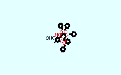 Cc1cc(OCc2ccccc2)c(C2(O)O[C@H](COCc3ccccc3)[C@@H](OCc3ccccc3)[C@H](OCc3ccccc3)[C@H]2OCc2ccccc2)cc1C=O